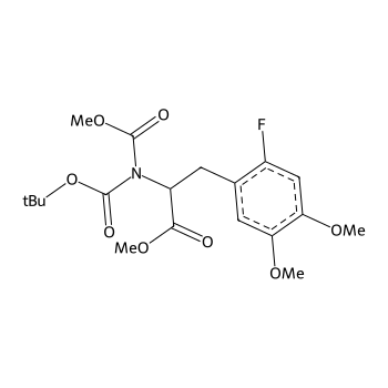 COC(=O)C(Cc1cc(OC)c(OC)cc1F)N(C(=O)OC)C(=O)OC(C)(C)C